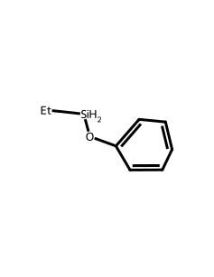 CC[SiH2]Oc1ccccc1